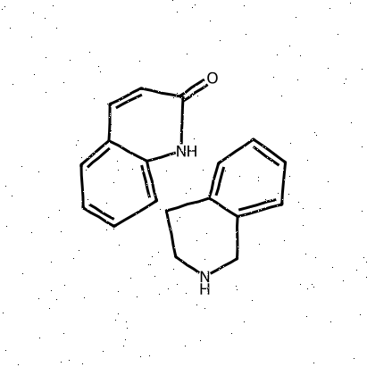 O=c1ccc2ccccc2[nH]1.c1ccc2c(c1)CCNC2